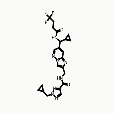 O=C(CCC(F)(F)F)NC(c1cnn2cc(CNC(=O)c3cnn(CC4CC4)n3)nc2c1)C1CC1